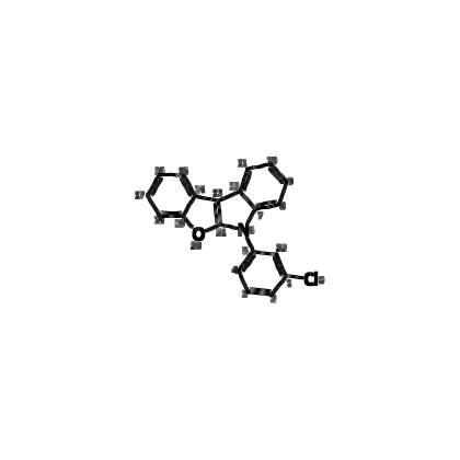 Clc1cccc(-n2c3ccccc3c3c4ccccc4oc32)c1